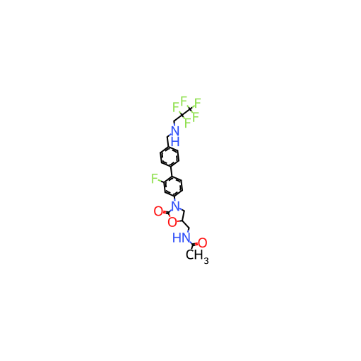 CC(=O)NCC1CN(c2ccc(-c3ccc(CNCC(F)(F)C(F)(F)F)cc3)c(F)c2)C(=O)O1